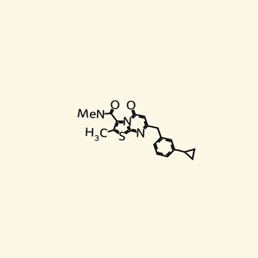 CNC(=O)c1c(C)sc2nc(Cc3cccc(C4CC4)c3)cc(=O)n12